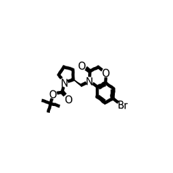 CC(C)(C)OC(=O)N1CCC[C@H]1CN1C(=O)COc2cc(Br)ccc21